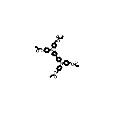 C=CC(=O)COc1ccc(N(c2ccc(COC(=O)C=C)cc2)c2ccc(-c3ccc(N(c4ccc(COC(=O)C=C)cc4)c4ccc(COC(=O)C=C)cc4)cc3)cc2)cc1